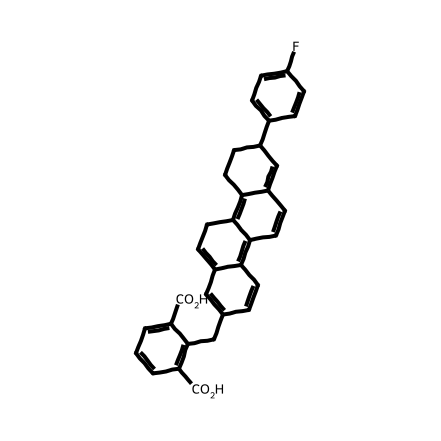 O=C(O)c1cccc(C(=O)O)c1Cc1ccc2c(c1)=CCc1c3c(ccc1=2)=CC(c1ccc(F)cc1)CC3